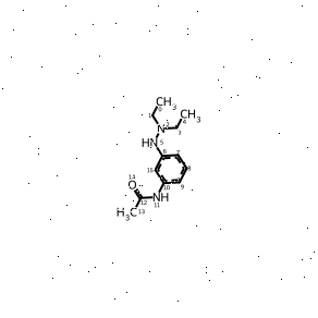 CCN(CC)Nc1cccc(NC(C)=O)c1